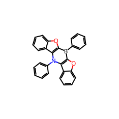 c1ccc(B2c3oc4ccccc4c3N(c3ccccc3)c3c2oc2ccccc32)cc1